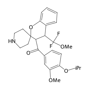 COc1cc(C(=O)C2C(C(F)(F)OC)c3ccccc3OC23CCNCC3)ccc1OC(C)C